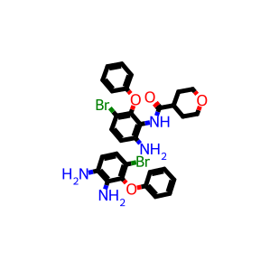 Nc1ccc(Br)c(Oc2ccccc2)c1N.Nc1ccc(Br)c(Oc2ccccc2)c1NC(=O)C1CCOCC1